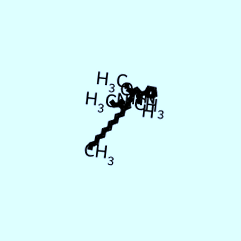 CCCCCCCCCCCC1=CC(=C2C(OCC)C=C(c3ccc[nH]3)N2C)N=C1CC